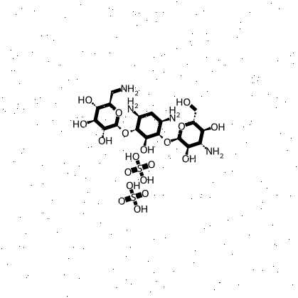 NC[C@H]1O[C@H](O[C@H]2[C@H](O)[C@@H](O[C@H]3O[C@H](CO)[C@@H](O)[C@H](N)[C@H]3O)[C@H](N)C[C@@H]2N)[C@H](O)[C@@H](O)[C@@H]1O.O=S(=O)(O)O.O=S(=O)(O)O